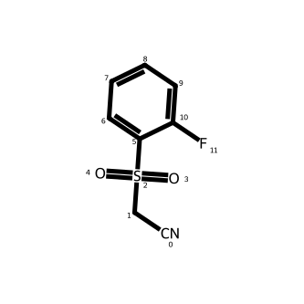 N#CCS(=O)(=O)c1ccccc1F